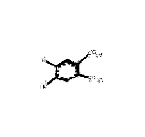 O=C(O)c1cc(O)c(Br)cc1C(=O)O